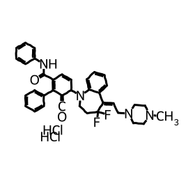 CN1CCN(CC=C2c3ccccc3N(C3C=CC(C(=O)Nc4ccccc4)=C(c4ccccc4)C3=C=O)CCC2(F)F)CC1.Cl.Cl